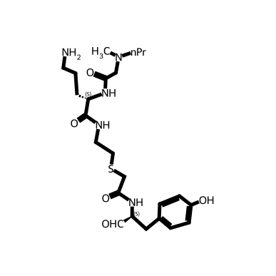 CCCN(C)CC(=O)N[C@@H](CCCN)C(=O)NCCSCC(=O)N[C@H](C=O)Cc1ccc(O)cc1